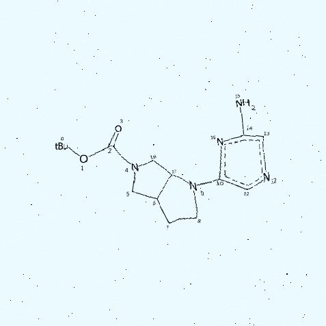 CC(C)(C)OC(=O)N1CC2CCN(c3cncc(N)n3)C2C1